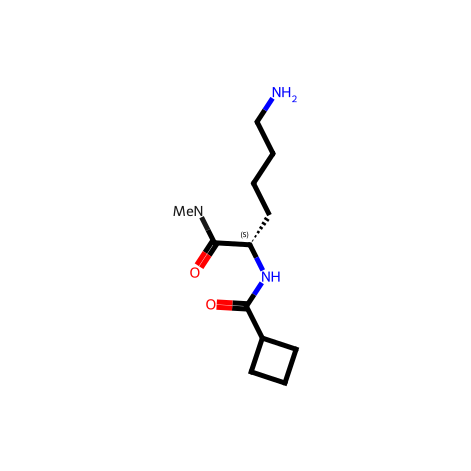 [CH2]NC(=O)[C@H](CCCCN)NC(=O)C1CCC1